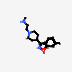 CNCCN1CCC(c2noc3cc(C)ccc23)CC1